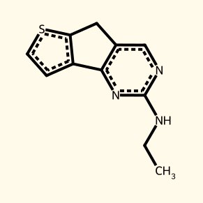 CCNc1ncc2c(n1)-c1ccsc1C2